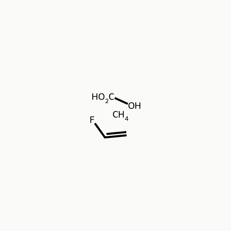 C.C=CF.O=C(O)O